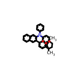 CC12CCC(C)(CC1)c1cc(-c3cc4ccccc4cc3N(c3ccccc3)c3ccccc3)ccc12